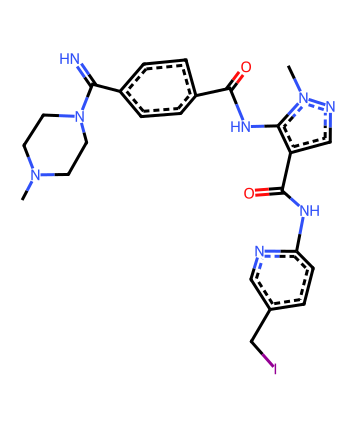 CN1CCN(C(=N)c2ccc(C(=O)Nc3c(C(=O)Nc4ccc(CI)cn4)cnn3C)cc2)CC1